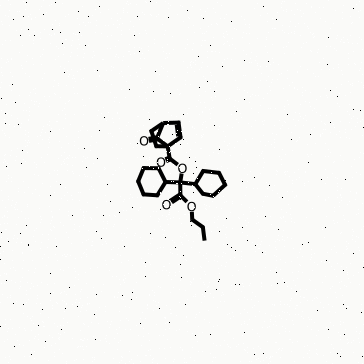 CCCOC(=O)C(OC(=O)C12C=CC(CC1)C2=O)(C1CCCCC1)C1CCCCC1